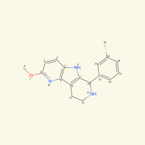 COc1ccc2[nH]c3c(c2n1)CCNC3c1cccc(F)c1